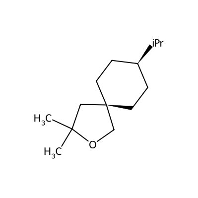 CC(C)[C@H]1CC[C@@]2(CC1)COC(C)(C)C2